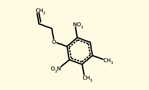 C=CCOc1c([N+](=O)[O-])cc(C)c(C)c1[N+](=O)[O-]